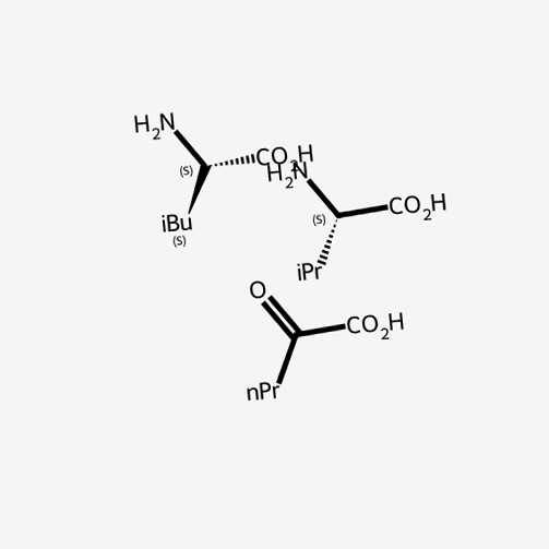 CC(C)[C@H](N)C(=O)O.CCCC(=O)C(=O)O.CC[C@H](C)[C@H](N)C(=O)O